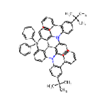 CC(C)(C)c1ccc(N2c3cccc4c3B3c5c2cccc5[Si](c2ccccc2)(c2ccccc2)c2cccc(c23)N4c2ccc(C(C)(C)C)cc2-c2ccccc2)c(-c2ccccc2)c1